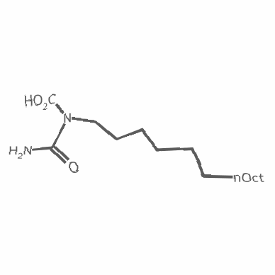 CCCCCCCCCCCCCCN(C(N)=O)C(=O)O